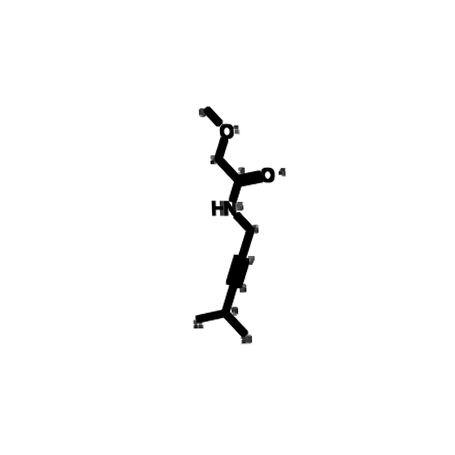 COCC(=O)NCC#CC(C)C